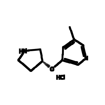 Cc1cncc(O[C@@H]2CCNC2)c1.Cl